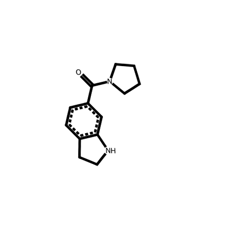 O=C(c1ccc2c(c1)NCC2)N1CCCC1